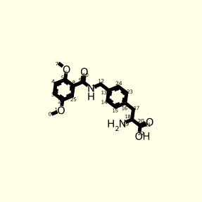 COc1ccc(OC)c(C(=O)NCc2ccc(CC(N)C(=O)O)cc2)c1